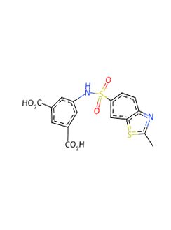 Cc1nc2ccc(S(=O)(=O)Nc3cc(C(=O)O)cc(C(=O)O)c3)cc2s1